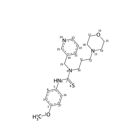 COc1ccc(NC(=S)N(CCCN2CCOCC2)Cc2cccnc2)cc1